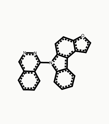 c1ccc2c(-n3c4ccccc4c4c5ccoc5ccc43)nncc2c1